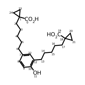 O=C(O)C1(CCCCCc2ccc(O)c(CCCCCC3(C(=O)O)CC3)c2)CC1